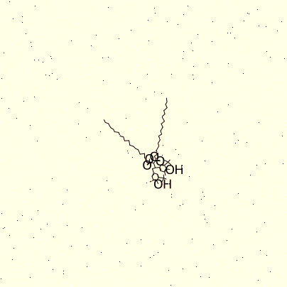 CCCCCCCCCCCCCCCCCCOC(=O)C(C(=O)OCCCCCCCCCCCCCCCCCC)C(Cc1cc(C)c(O)c(C(C)(C)C)c1)c1cc(C)c(O)c(C(C)(C)C)c1